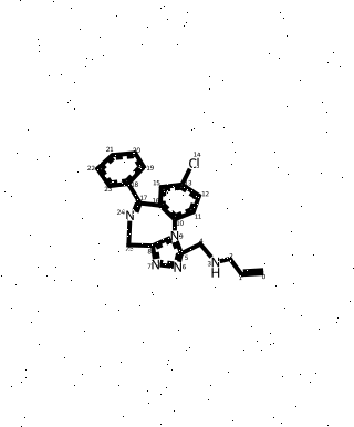 C=CCNCc1nnc2n1-c1ccc(Cl)cc1C(c1ccccc1)=NC2